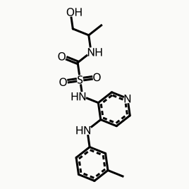 Cc1cccc(Nc2ccncc2NS(=O)(=O)C(=O)NC(C)CO)c1